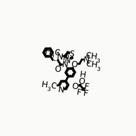 Cc1cc(-c2ccc(OCCN(C)C)c(NC(=O)[C@H](Cc3ccccc3)N(C)c3cscn3)c2)ccn1.O=C(O)C(F)(F)F